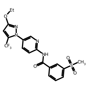 CCOc1cc(C(F)(F)F)n(-c2ccc(NC(=O)c3cccc(S(C)(=O)=O)c3)nc2)n1